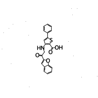 O=C(CNc1cc(-c2ccccc2)sc1C(=O)O)c1cc2ccccc2o1